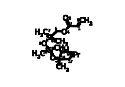 C=CC(=O)OC[Si](C)(C)O[Si](C)(C)O[Si](C)(C)CC(C)C